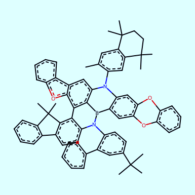 Cc1cc2c(cc1N1c3cc4c(cc3B3c5c1cc1c(oc6ccccc61)c5-c1c(ccc5c1C(C)(C)c1ccccc1-5)N3c1ccc(C(C)(C)C)cc1-c1ccccc1)Oc1ccccc1O4)C(C)(C)CCC2(C)C